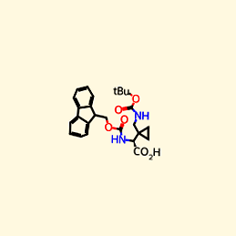 CC(C)(C)OC(=O)NCC1([C@H](NC(=O)OCC2c3ccccc3-c3ccccc32)C(=O)O)CC1